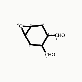 O=CC1CC2OC2CC1C=O